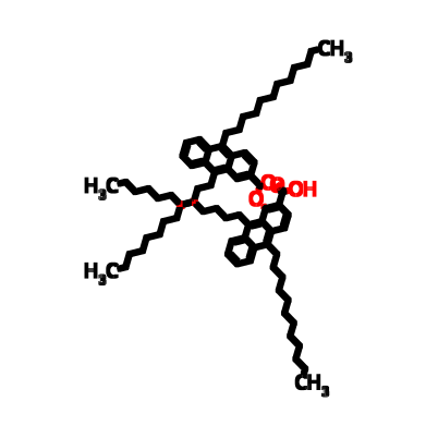 CCCCCCCCCCCCc1c2ccccc2c(CCCCCCCCCCCC)c2cc(C(=O)Oc3c(C(=O)O)ccc4c(CCCCCCCCCCCC)c5ccccc5c(CCCCCCCCCCCC)c34)ccc12